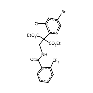 CCOC(=O)C(CNC(=O)c1ccccc1C(F)(F)F)(C(=O)OCC)c1ncc(Br)cc1Cl